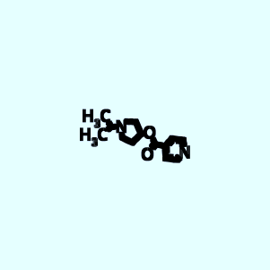 CC(C)N1CCC(OC(=O)c2ccncc2)CC1